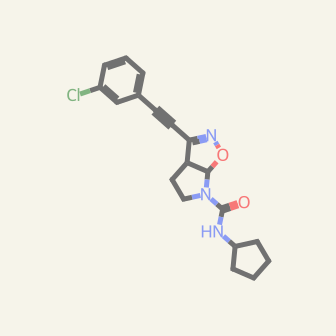 O=C(NC1CCCC1)N1CCC2C(C#Cc3cccc(Cl)c3)=NOC21